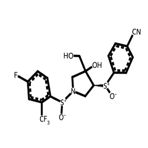 N#Cc1ccc([S+]([O-])[C@H]2CN([S+]([O-])c3ccc(F)cc3C(F)(F)F)CC2(O)CO)cc1